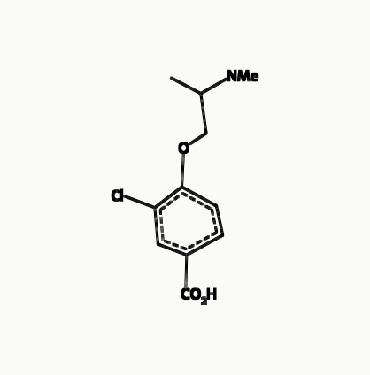 CNC(C)COc1ccc(C(=O)O)cc1Cl